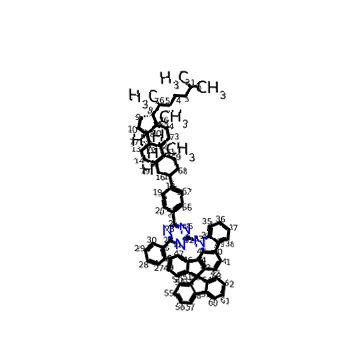 CC(C)CCC[C@@H](C)[C@H]1CC[C@H]2[C@@H]3CC[C@H]4CC(c5ccc(-c6nc(-c7ccccc7)nc(-n7c8ccccc8c8ccc9c(c87)-c7ccccc7C97c8ccccc8-c8ccccc87)n6)cc5)CC[C@]4(C)[C@H]3CC[C@]12C